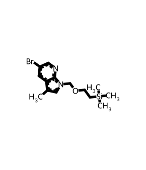 Cc1cn(COCC[Si](C)(C)C)c2ncc(Br)cc12